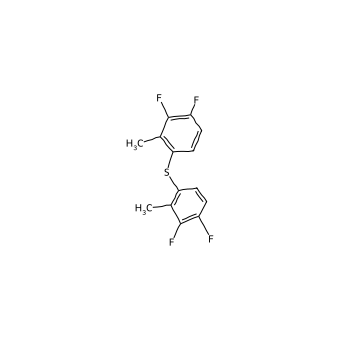 Cc1c(Sc2ccc(F)c(F)c2C)ccc(F)c1F